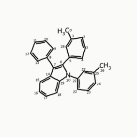 Cc1cccc(-c2c(-c3ccccc3)c3ccccc3n2-c2cccc(C)c2)c1